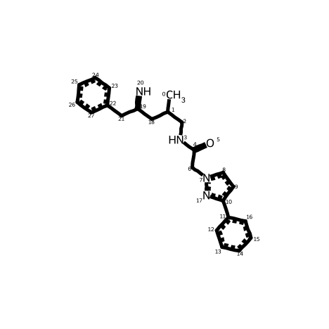 CC(CNC(=O)Cn1ccc(-c2ccccc2)n1)CC(=N)Cc1ccccc1